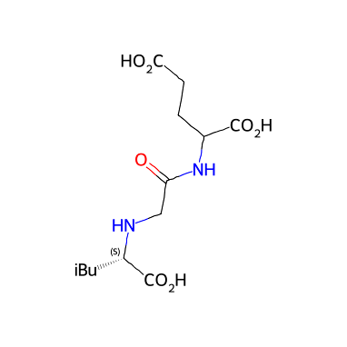 CCC(C)[C@H](NCC(=O)NC(CCC(=O)O)C(=O)O)C(=O)O